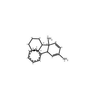 NC1=CC(c2ccccn2)C(N)(C2CCCCC2)C=C1